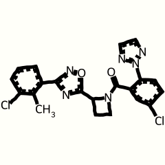 Cc1c(Cl)cccc1-c1noc(C2CCN2C(=O)c2cc(Cl)ccc2-n2nccn2)n1